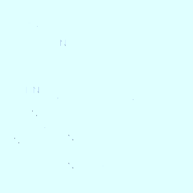 CC1(c2nc(C(O)c3ccc(Oc4ccccc4)cc3)ns2)CNCCN1C(=O)Nc1ccnc(C(F)(F)F)c1